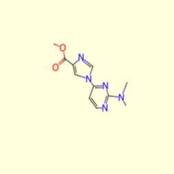 COC(=O)c1cn(-c2ccnc(N(C)C)n2)cn1